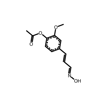 COc1cc(C=CC=NO)ccc1OC(C)=O